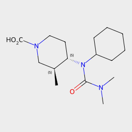 C[C@H]1CN(C(=O)O)CC[C@@H]1N(C(=O)N(C)C)C1CCCCC1